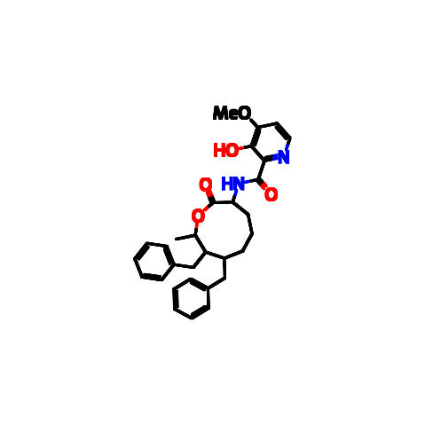 COc1ccnc(C(=O)NC2CCCC(Cc3ccccc3)C(Cc3ccccc3)C(C)OC2=O)c1O